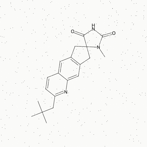 CN1C(=O)NC(=O)C12Cc1cc3ccc(CC(C)(C)C)nc3cc1C2